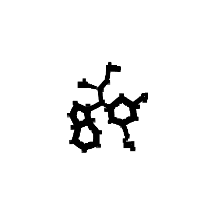 CNC[C@@H](O)[C@H](c1cc(F)cc(Cl)c1)n1ccc2ccccc21.Cl